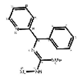 CS/C(=N\C(c1ccccc1)c1ccccn1)NC#N